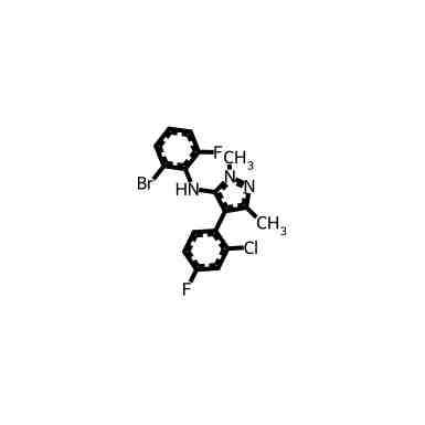 Cc1nn(C)c(Nc2c(F)cccc2Br)c1-c1ccc(F)cc1Cl